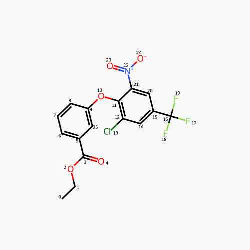 CCOC(=O)c1cccc(Oc2c(Cl)cc(C(F)(F)F)cc2[N+](=O)[O-])c1